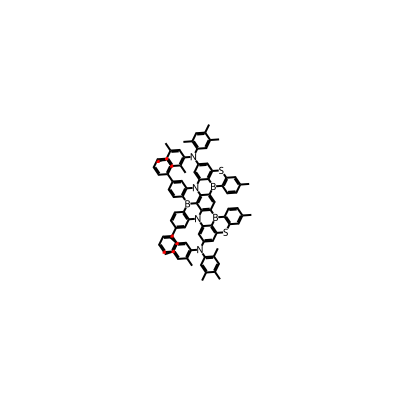 Cc1ccc2c(c1)Sc1cc(N(c3cc(C)c(C)cc3C)c3cc(C)c(C)cc3C)cc3c1B2c1cc2c4c5c1N3c1cc(-c3ccccc3)ccc1B5c1ccc(-c3ccccc3)cc1N4c1cc(N(c3cc(C)c(C)cc3C)c3cc(C)c(C)cc3C)cc3c1B2c1ccc(C)cc1S3